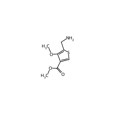 COC(=O)c1csc(CN)c1OC